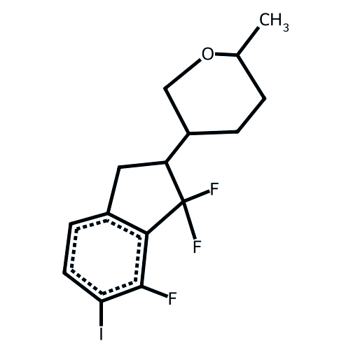 CC1CCC(C2Cc3ccc(I)c(F)c3C2(F)F)CO1